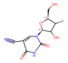 N#Cc1cn([C@H]2O[C@@H](CO)C(F)C2O)c(=O)[nH]c1=O